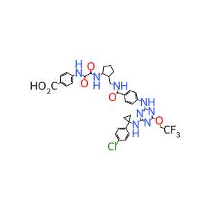 O=C(Nc1ccc(C(=O)O)cc1)C(=O)NC1CCCC1CNC(=O)c1ccc(Nc2nc(NC3(c4ccc(Cl)cc4)CC3)nc(OCC(F)(F)F)n2)cc1